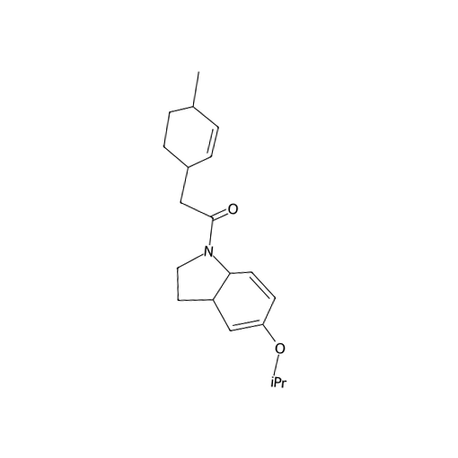 CC1C=CC(CC(=O)N2CCC3C=C(OC(C)C)C=CC32)CC1